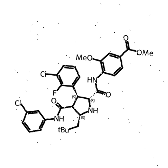 COC(=O)c1ccc(NC(=O)[C@@H]2N[C@@H](CC(C)(C)C)C(C(=O)Nc3cccc(Cl)c3)[C@H]2c2cccc(Cl)c2F)c(OC)c1